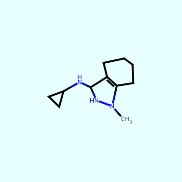 CN1NC(NC2CC2)C2=C1CCCC2